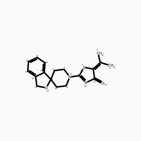 [CH2]C([CH2])=C1SC(N2CCC3(CC2)OCc2ccccc23)=NC1=O